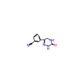 N#Cc1cccc(C2=NNC(=O)NC2)c1